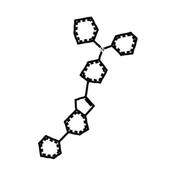 C1=C(c2ccc(N(c3ccccc3)c3ccccc3)cc2)Cc2cc(-c3ccccc3)ccc21